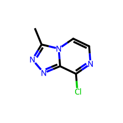 Cc1nnc2c(Cl)nccn12